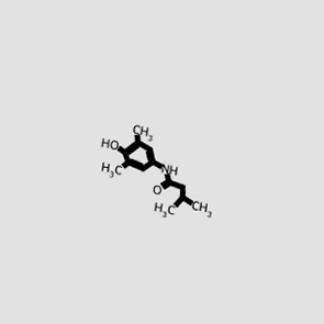 Cc1cc(NC(=O)CC(C)C)cc(C)c1O